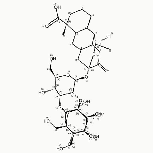 C=C1CC2C3CC4C(CCC[C@@]4(C)C(=O)O)C2[C@@H](C)C[C@]1(O[C@@H]1O[C@H](CO)[C@@H](O)[C@H](O[C@@H]2O[C@H](CO)[C@@H](O)[C@H](O)[C@H]2O)[C@H]1O[C@@H]1O[C@H](CO)[C@@H](O)[C@H](O)[C@H]1O)C3